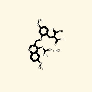 COc1ccc(CC(C(=O)O)C(=O)O)c(OCc2cnc3ccc(OC)cc3c2OC(C)C)c1.Cl